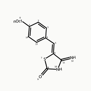 CCCCCCCCc1ccc(/C=C2\SC(=O)NC2=N)cc1